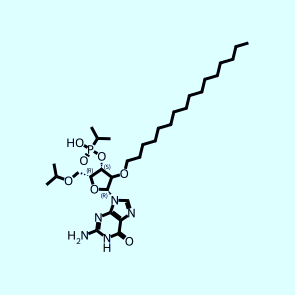 CCCCCCCCCCCCCCCCOC1[C@@H](OP(=O)(O)C(C)C)[C@@H](COC(C)C)O[C@H]1n1cnc2c(=O)[nH]c(N)nc21